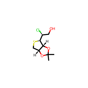 CC1(C)O[C@H]2[C@H]([C@@H](Cl)CO)SC[C@H]2O1